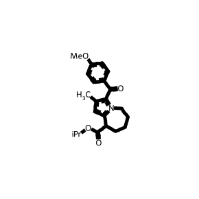 COc1ccc(C(=O)c2c(C)cc3n2CCCCC3C(=O)OC(C)C)cc1